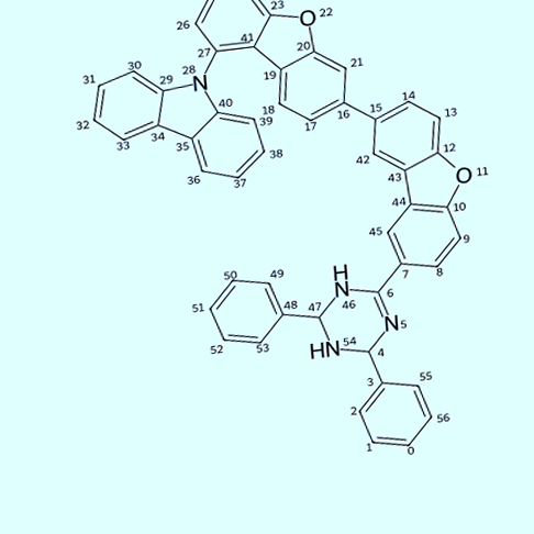 c1ccc(C2N=C(c3ccc4oc5ccc(-c6ccc7c(c6)oc6cccc(-n8c9ccccc9c9ccccc98)c67)cc5c4c3)NC(c3ccccc3)N2)cc1